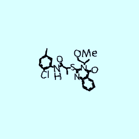 COCC(C)n1c(SC(C)C(=O)Nc2cc(C)ccc2Cl)nc2ccccc2c1=O